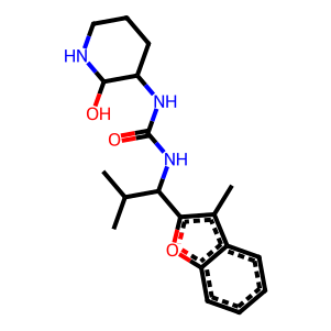 Cc1c(C(NC(=O)NC2CCCNC2O)C(C)C)oc2ccccc12